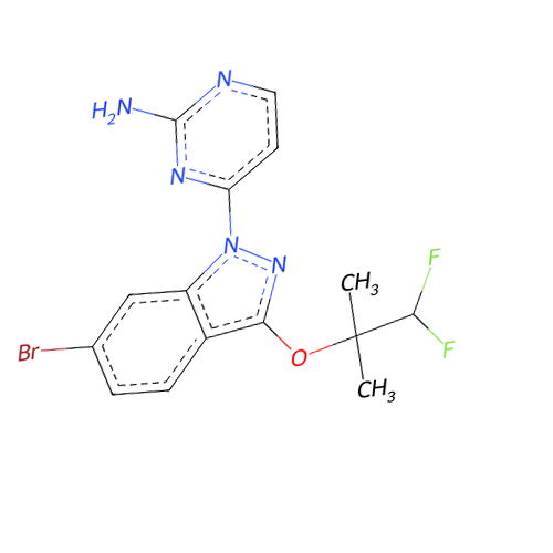 CC(C)(Oc1nn(-c2ccnc(N)n2)c2cc(Br)ccc12)C(F)F